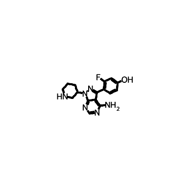 Nc1ncnc2c1c(-c1ccc(O)cc1F)nn2C1CCCNC1